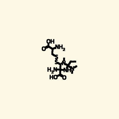 CCC(NC(N)(CSSCC(N)C(=O)O)C(=O)O)(N(C)C)N(C)C